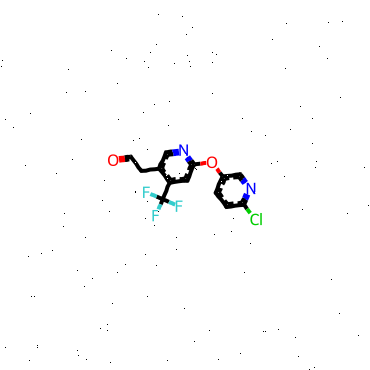 O=CCc1cnc(Oc2ccc(Cl)nc2)cc1C(F)(F)F